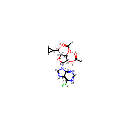 CC(=O)O[C@@H]1[C@H](OC(C)=O)[C@@H](C(O)C2CC2)O[C@H]1n1cnc2c(Cl)ncnc21